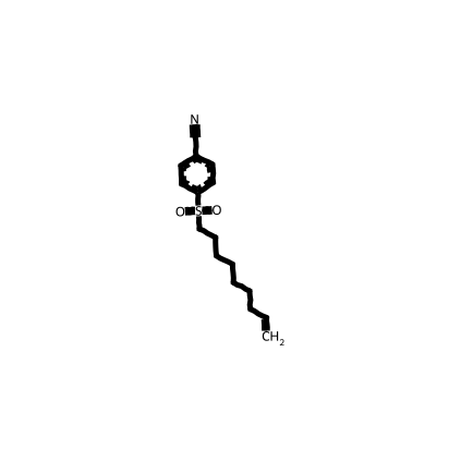 C=CCCCCCCCS(=O)(=O)c1ccc(C#N)cc1